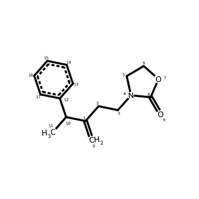 C=C(CCN1CCOC1=O)C(C)c1ccccc1